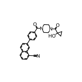 N#Cc1cccc2ccc(-c3ccc(C(=O)N4CCN(C(=O)C5(O)CC5)CC4)cc3)cc12